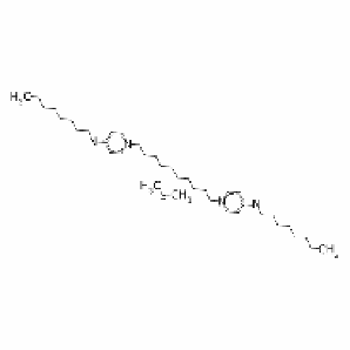 CCCCCCCCN=c1ccn(CCCCCCCCCCn2ccc(=NCCCCCCCC)cc2)cc1.CSC